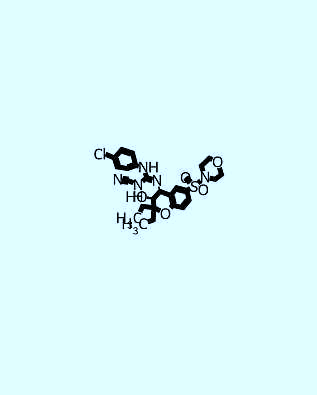 CCC1(CC)Oc2ccc(S(=O)(=O)N3CCOCC3)cc2[C@@H](N=C(NC#N)Nc2ccc(Cl)cc2)[C@@H]1O